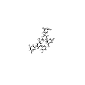 Cc1cccc(-c2cc(C(=O)c3cc(-c4cc(C)cc(C)c4)cc(-c4cc(C)cc(C)c4)c3)cc(-c3cc(C)cc(C)c3)c2)c1